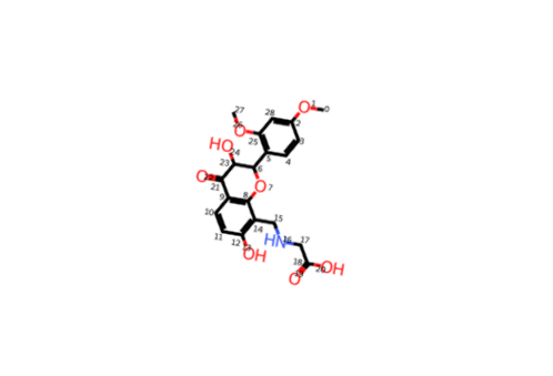 COc1ccc(C2Oc3c(ccc(O)c3CNCC(=O)O)C(=O)C2O)c(OC)c1